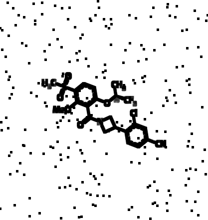 COc1c(S(C)(=O)=O)ccc(O[C@@H](C)C(F)(F)F)c1C(=O)N1CC(c2ccc(C#N)cc2Cl)C1